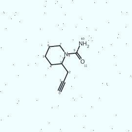 C#CCC1CCCCN1C(N)=O